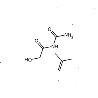 C=C(C)C.NC(=O)NC(=O)CO